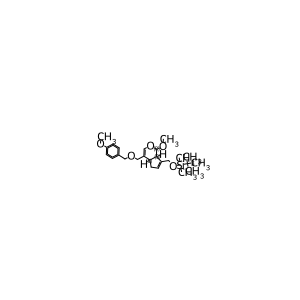 COc1ccc(COCC2=CO[C@@H](OC)[C@@H]3C(CO[Si](C)(C)C(C)(C)C)=CC[C@H]23)cc1